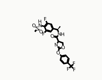 C[C@@H](NC(=O)C1COC(Oc2ccc(C(F)(F)F)cc2)=N1)c1cc(F)c(NS(C)(=O)=O)c(F)c1